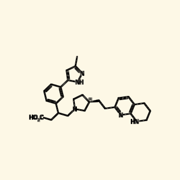 Cc1cc(-c2cccc(C(CC(=O)O)CN3CC[C@@H](CCc4ccc5c(n4)NCCC5)C3)c2)[nH]n1